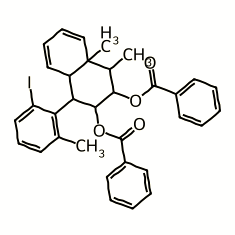 Cc1cccc(I)c1C1C(OC(=O)c2ccccc2)C(OC(=O)c2ccccc2)C(C)C2(C)C=CC=CC12